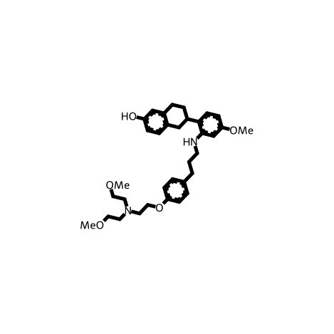 COCCN(CCOC)CCOc1ccc(CCCNc2cc(OC)ccc2C2CCc3cc(O)ccc3C2)cc1